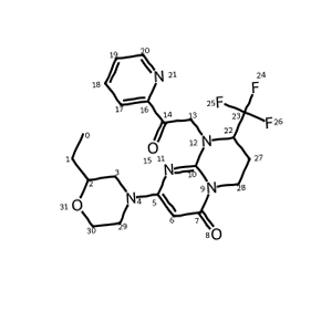 CCC1CN(c2cc(=O)n3c(n2)N(CC(=O)c2ccccn2)C(C(F)(F)F)CC3)CCO1